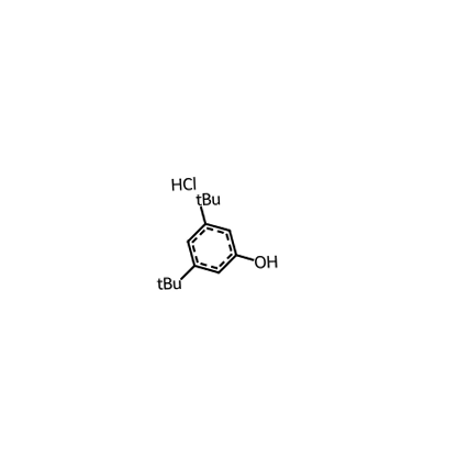 CC(C)(C)c1cc(O)cc(C(C)(C)C)c1.Cl